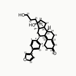 C[C@@]12C[C@H](c3ccc(-c4ccoc4)cc3)C3=C4CCC(=O)C=C4CC[C@H]3[C@@H]1CC[C@]2(O)CCCO